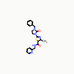 CC1N=C(N2CCN(Cc3ccccc3)C2=O)SC1C(=O)NCc1ccccn1